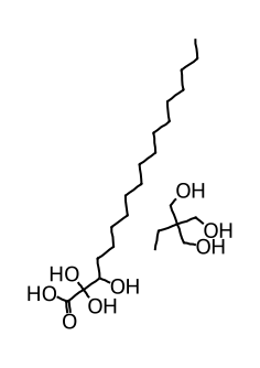 CCC(CO)(CO)CO.CCCCCCCCCCCCCCCC(O)C(O)(O)C(=O)O